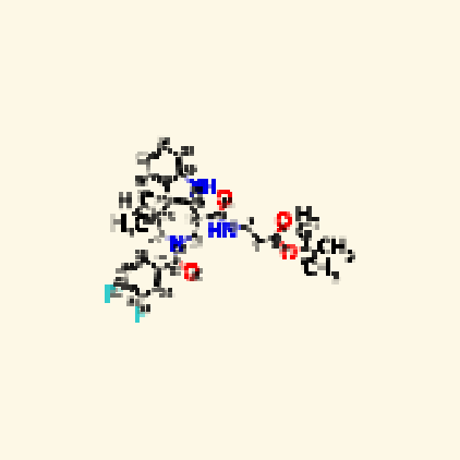 CC(C)(C)OC(=O)CCNC(=O)C1CN(C(=O)c2ccc(F)c(F)c2)CC(C)(C)c2c1[nH]c1ccccc21